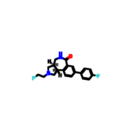 O=C1NC[C@@H]2CN(CCF)C[C@H]2c2ccc(-c3ccc(F)cc3)cc21